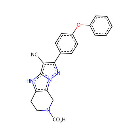 N#Cc1c(-c2ccc(Oc3ccccc3)cc2)nn2c3c([nH]c12)CCN(C(=O)O)C3